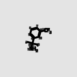 [CH2][C@](C)(N)c1cccc(C(F)(F)F)c1